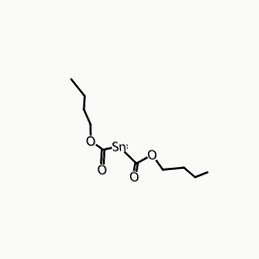 CCCCO[C](=O)[Sn][C](=O)OCCCC